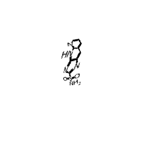 NS(=O)(=O)c1nc2cc3cccnc3[nH]c-2n1